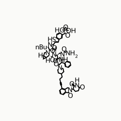 CCCC[C@H](NC(=O)c1cc2cc(C(=O)P(=O)(O)O)ccc2s1)C(=O)N1C[C@H]2C[C@H]2[C@H]1C(=O)N[C@@H](CNC(N)=O)C(=O)N[C@H](C(=O)N1CCC(CCC#Cc2cccc3c2CN(C2CCC(=O)NC2=O)C3=O)CC1)c1ccccc1